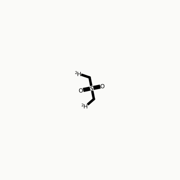 [2H]CS(=O)(=O)C[2H]